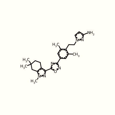 Cc1cc(-c2noc(-c3nn(C)c4c3CCC(C)(C)C4)n2)cc(C)c1CCn1ccc(N)n1